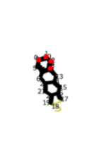 c1ccc2c(c1)C1c3ccccc3C2c2cc3cscc3cc21